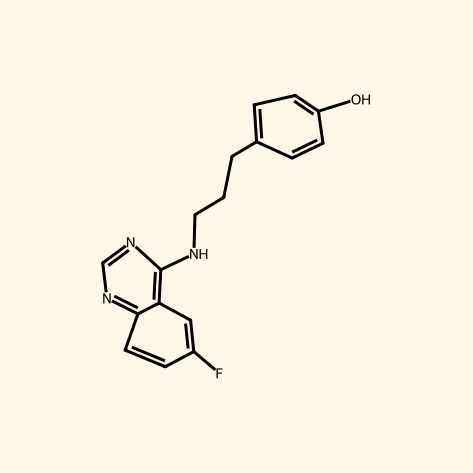 Oc1ccc(CCCNc2ncnc3ccc(F)cc23)cc1